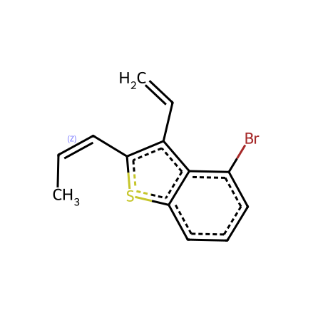 C=Cc1c(/C=C\C)sc2cccc(Br)c12